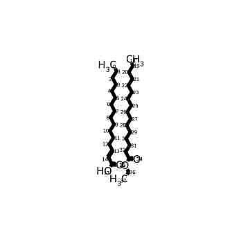 CCCCCCCCCCCCCC=CC(=O)O.CCCCCCCCCCCCCCCC(=O)OCC